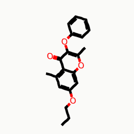 CCCOc1cc(C)c2c(=O)c(Oc3ccccc3)c(C)oc2c1